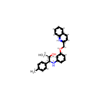 Cc1ccc([C@H](Nc2cccc(OCc3ccc4ccccc4n3)c2)[C@H](O)C(=O)O)cc1